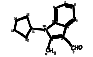 Cc1c(C=O)c2ccccc2n1C1CCCC1